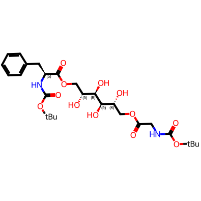 CC(C)(C)OC(=O)NCC(=O)OC[C@@H](O)[C@@H](O)[C@H](O)[C@H](O)COC(=O)[C@H](Cc1ccccc1)NC(=O)OC(C)(C)C